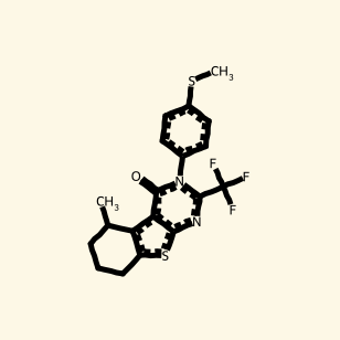 CSc1ccc(-n2c(C(F)(F)F)nc3sc4c(c3c2=O)C(C)CCC4)cc1